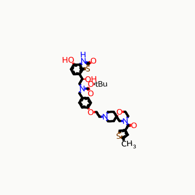 Cc1cc(C(=O)N2CCOC3(CCN(CCOc4ccc(CN(C[C@H](O)c5ccc(O)c6[nH]c(=O)sc56)C(=O)OC(C)(C)C)cc4)CC3)C2)cs1